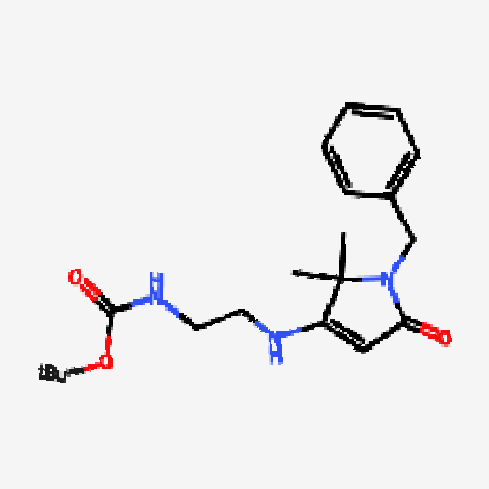 CC(C)(C)OC(=O)NCCNC1=CC(=O)N(Cc2ccccc2)C1(C)C